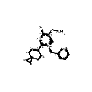 COc1cn(Cc2ccccc2)c(C2=CCC3(CC2)CC3)nc1=O